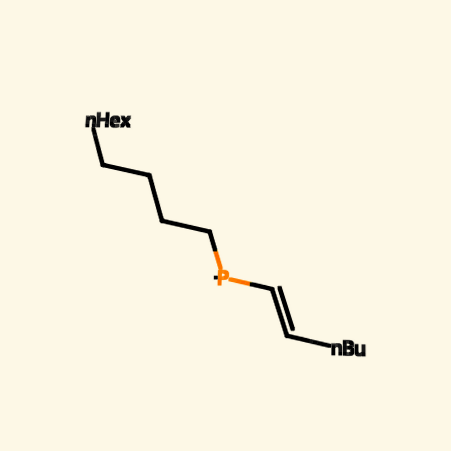 CCCCC=C[P]CCCCCCCCCC